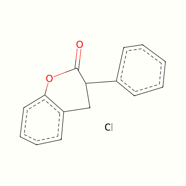 O=C1Oc2ccccc2CC1c1ccccc1.[C]